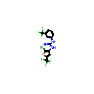 N=C(Nc1cccc(C(F)(F)F)c1)Nc1cc(C(F)(F)F)sc1Br